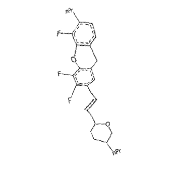 CCCc1ccc2c(c1F)Oc1c(cc(/C=C/C3CCC(CCC)CO3)c(F)c1F)C2